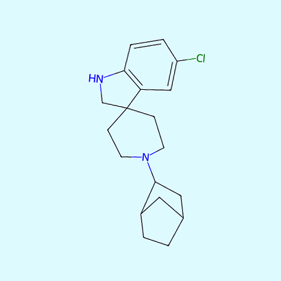 Clc1ccc2c(c1)C1(CCN(C3CC4CCC3C4)CC1)CN2